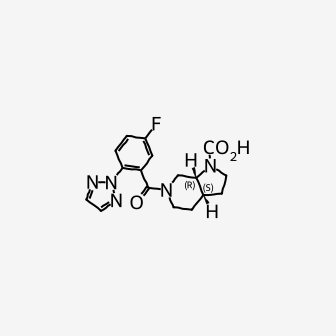 O=C(c1cc(F)ccc1-n1nccn1)N1CC[C@H]2CCN(C(=O)O)[C@H]2C1